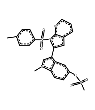 Cc1ccc(S(=O)(=O)n2c(-c3cn(C)c4ccc(OS(C)(=O)=O)cc34)cc3cccnc32)cc1